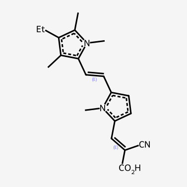 CCc1c(C)c(/C=C/c2ccc(/C=C(\C#N)C(=O)O)n2C)n(C)c1C